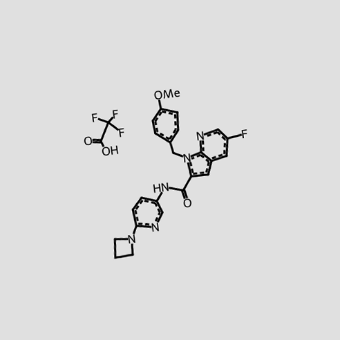 COc1ccc(Cn2c(C(=O)Nc3ccc(N4CCC4)nc3)cc3cc(F)cnc32)cc1.O=C(O)C(F)(F)F